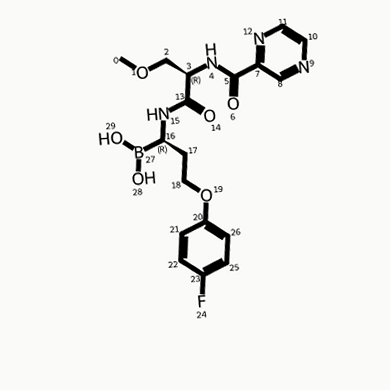 COC[C@@H](NC(=O)c1cnccn1)C(=O)N[C@@H](CCOc1ccc(F)cc1)B(O)O